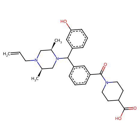 C=CCN1C[C@@H](C)N(C(c2cccc(O)c2)c2cccc(C(=O)N3CCC(C(=O)O)CC3)c2)C[C@H]1C